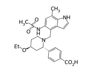 CCO[C@H]1CCN(Cc2c(NS(C)(=O)=O)cc(C)c3[nH]ccc23)[C@H](c2ccc(C(=O)O)cc2)C1